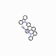 N#Cc1ccc(-n2c3ccccc3c3ccccc32)c(-c2ccccc2-c2ccc(-n3c4c(c5ccccc53)CCC=C4)cc2C#N)c1